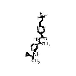 C=C(Nc1cc(C(C)NC(=O)c2ccc(CCC(F)(F)F)nc2)ccn1)C1CC1